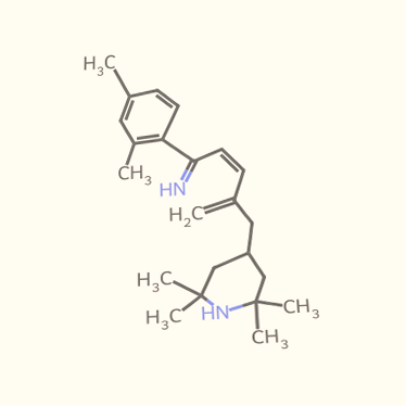 C=C(/C=C\C(=N)c1ccc(C)cc1C)CC1CC(C)(C)NC(C)(C)C1